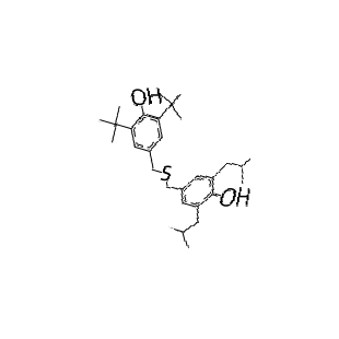 CC(C)Cc1cc(CSCc2cc(C(C)(C)C)c(O)c(C(C)(C)C)c2)cc(CC(C)C)c1O